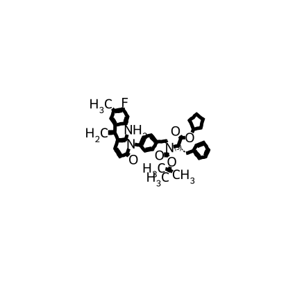 C=C(c1ccc(F)c(C)c1)c1ccc(=O)n(-c2ccc(CN(C(=O)OC(C)(C)C)[C@@H](Cc3ccccc3)C(=O)OC3CCCC3)cc2)c1N